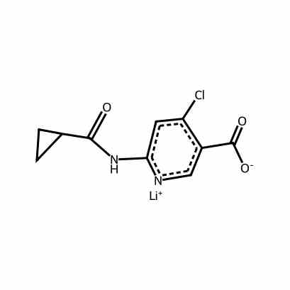 O=C([O-])c1cnc(NC(=O)C2CC2)cc1Cl.[Li+]